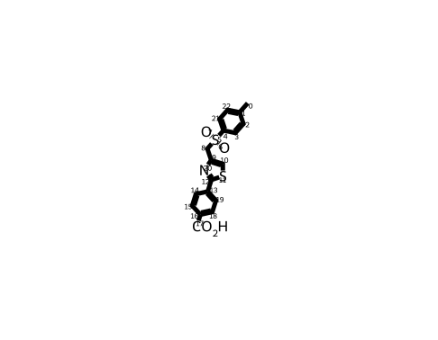 Cc1ccc(S(=O)(=O)Cc2csc(-c3ccc(C(=O)O)cc3)n2)cc1